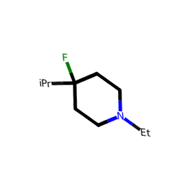 CCN1CCC(F)(C(C)C)CC1